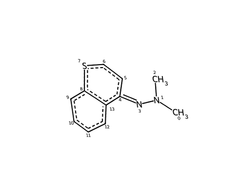 CN(C)N=c1ccsc2ccccc12